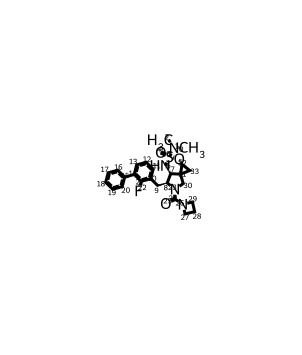 CN(C)S(=O)(=O)N[C@@H]1[C@H](Cc2cccc(-c3ccccc3)c2F)N(C(=O)N2CCC2)CC12CC2